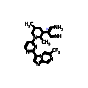 CC1CC(/C(C=N)=C/N)C(C)N(c2ccnc(-c3cnc4cnc(C(F)(F)F)cn34)n2)C1